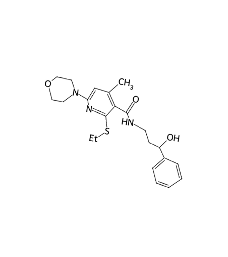 CCSc1nc(N2CCOCC2)cc(C)c1C(=O)NCCC(O)c1ccccc1